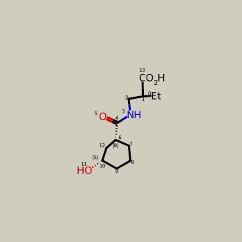 CCC(CNC(=O)[C@@H]1CCC[C@H](O)C1)C(=O)O